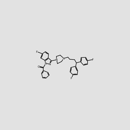 O=C(c1ccccc1)n1nc(N2CCN(CCCC(c3ccc(F)cc3)c3ccc(F)cc3)CC2)c2ccc(F)cc21